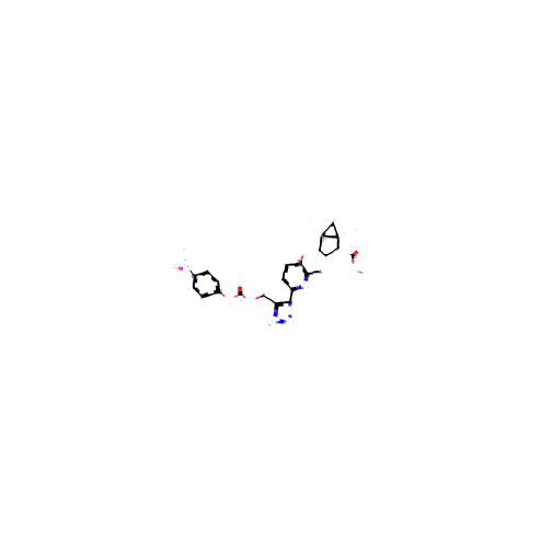 COC(=O)[C@H]1C[C@H](Oc2ccc(-c3nnn(C)c3COC(=O)Oc3ccc([N+](=O)[O-])cc3)nc2C)[C@H]2C[C@H]21